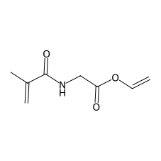 C=COC(=O)CNC(=O)C(=C)C